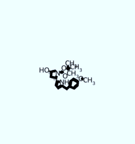 COc1ccc(Cc2ccc([C@@H]3C[C@@H](O)CN3C(=O)OC(C)(C)C)[nH]2)cc1